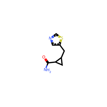 NC(=O)C1CC1Cc1cncs1